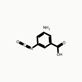 N.O=C=Nc1cccc(C(=O)O)c1